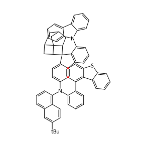 CC(C)(C)c1ccc2c(N(c3ccc4c(c3)-c3cccc(-n5c6ccccc6c6ccccc65)c3C43C4CC5CC6CC3C64C5)c3ccccc3-c3cccc4sc5ccccc5c34)cccc2c1